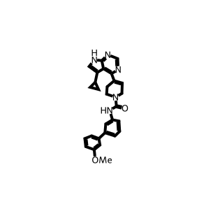 COc1cccc(-c2cccc(NC(=O)N3CC=C(c4ncnc5[nH]cc(C6CC6)c45)CC3)c2)c1